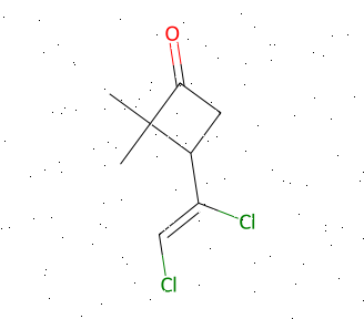 CC1(C)C(=O)CC1C(Cl)=CCl